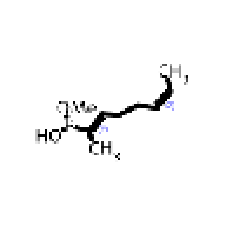 C/C=C\CC/C=C(\C)P(O)OC